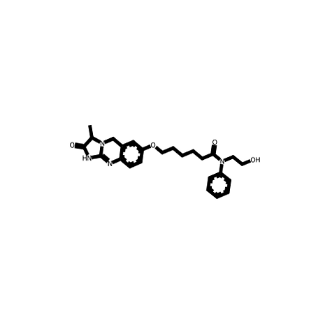 CC1C(=O)NC2=Nc3ccc(OCCCCCC(=O)N(CCO)c4ccccc4)cc3CN21